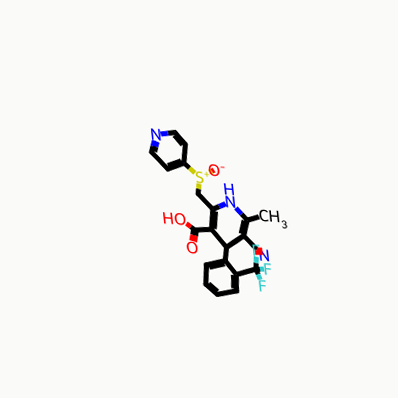 CC1=C(C#N)C(c2ccccc2C(F)(F)F)C(C(=O)O)=C(C[S+]([O-])c2ccncc2)N1